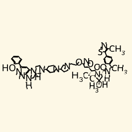 Cc1ncsc1-c1ccc([C@H](C)NC(=O)[C@@H]2C[C@@H](O)CN2C(=O)[C@@H](c2cc(OCCN3CCC(N4CCC(N5CCN6c7cc(-c8ccccc8O)nnc7NC[C@H]6C5)CC4)C3)no2)C(C)C)cc1